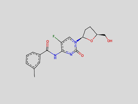 Cc1cccc(C(=O)Nc2nc(=O)n([C@H]3CC[C@@H](CO)O3)cc2F)c1